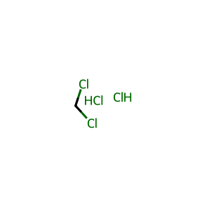 Cl.Cl.ClCCl